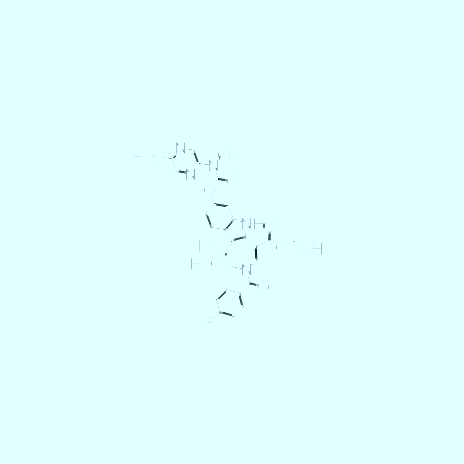 CCOC(=O)C1=CN(C(=O)c2ccc(F)cc2)CC(C)(C)c2c1[nH]c1cc(OC(=O)N(C)c3cnc(C)cn3)ccc21